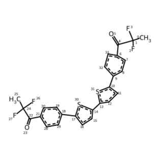 CC(F)(F)C(=O)c1ccc(-c2ccc(-c3ccc(-c4ccc(C(=O)C(C)(F)F)cc4)s3)s2)cc1